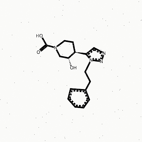 O=C(O)N1CC[C@@H](c2cnnn2CCc2ccccc2)[C@H](O)C1